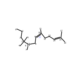 CCCC(C)(C)N(C)C/C=C(/C)CCC=C(C)C